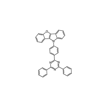 c1ccc(-c2nc(-c3ccccc3)nc(-c3ccc(-n4c5ccccc5c5oc6ccccc6c54)cc3)n2)cc1